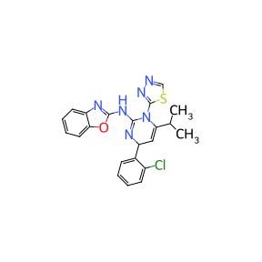 CC(C)C1=CC(c2ccccc2Cl)N=C(Nc2nc3ccccc3o2)N1c1nncs1